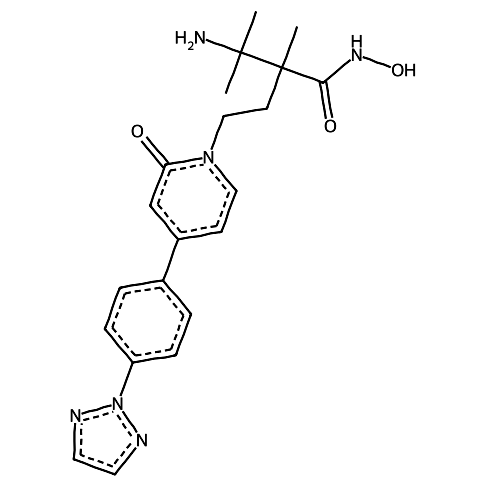 CC(C)(N)C(C)(CCn1ccc(-c2ccc(-n3nccn3)cc2)cc1=O)C(=O)NO